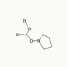 CCOC(CC)ON1CCCC1